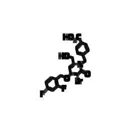 O=C(O)c1ccc(Cn2c(CO)cc(OCc3ccc(F)cc3F)c(Br)c2=O)cc1